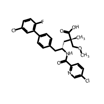 COC[C@](C)(C[C@@H](Cc1ccc(-c2cc(Cl)ccc2F)cc1)NC(=O)c1ccc(Cl)cn1)C(=O)O